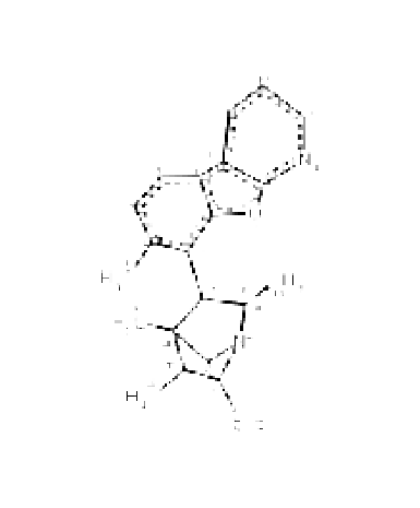 Cc1ccc2c(oc3ncccc32)c1C1[C@@H](C)N2CC1(C)C(C)C2C